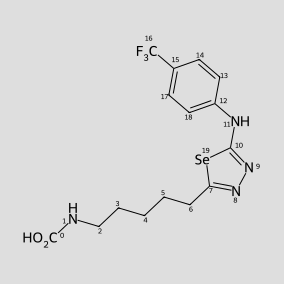 O=C(O)NCCCCCc1nnc(Nc2ccc(C(F)(F)F)cc2)[se]1